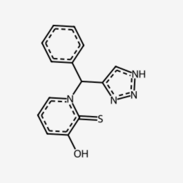 Oc1cccn(C(c2ccccc2)c2c[nH]nn2)c1=S